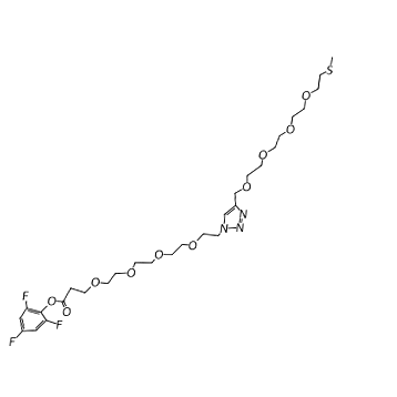 CSCCOCCOCCOCCOCc1cn(CCOCCOCCOCCOCCC(=O)Oc2c(F)cc(F)cc2F)nn1